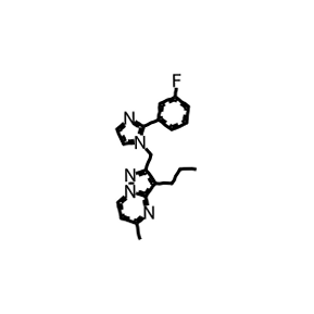 CCCc1c(Cn2ccnc2-c2cccc(F)c2)nn2ccc(C)nc12